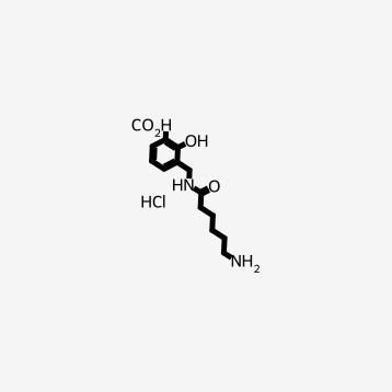 Cl.NCCCCCC(=O)NCc1cccc(C(=O)O)c1O